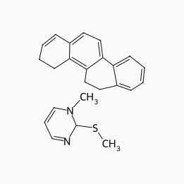 C1=Cc2ccc3c(c2CC1)CCc1ccccc1-3.CSC1N=CC=CN1C